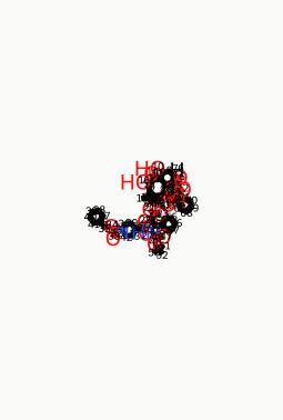 CC(=O)O[C@@]12CO[C@@H]1C[C@H](O)[C@@]1(C)C(=O)[C@H](O)C3=C(C)[C@@H](OC(=O)[C@H](OC(=O)C4CCN(C(=O)OCc5ccccc5)CC4)[C@@H](NC(=O)OC(C)(C)C)c4ccccc4)C[C@@](O)([C@@H](OC(=O)c4ccccc4)[C@H]21)C3(C)C